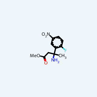 COC(=O)CC(C)(N)c1cc([N+](=O)[O-])ccc1F